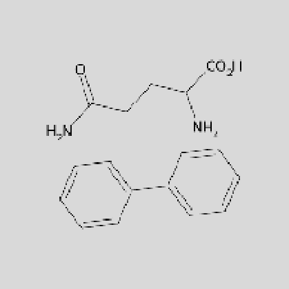 NC(=O)CCC(N)C(=O)O.c1ccc(-c2ccccc2)cc1